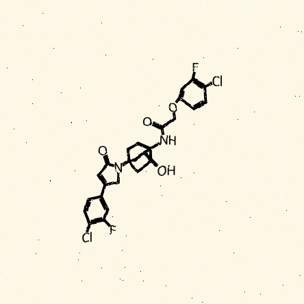 O=C(COc1ccc(Cl)c(F)c1)NC12CCC(N3CC(c4ccc(Cl)c(F)c4)=CC3=O)(CC1)CC2O